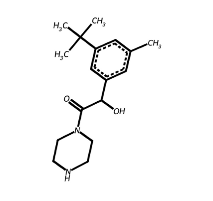 Cc1cc(C(O)C(=O)N2CCNCC2)cc(C(C)(C)C)c1